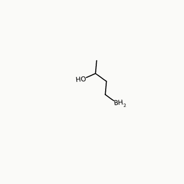 BCCC(C)O